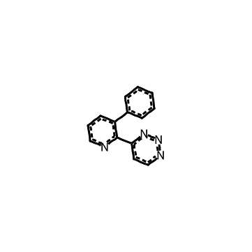 c1ccc(-c2cccnc2-c2ccnnn2)cc1